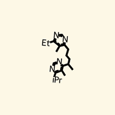 CCc1ncnc(CCCC(C)c2ncnc(C(C)C)c2C)c1C